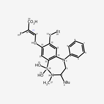 CCCCC1CN(c2ccccc2)c2cc(SCC)c(O/C=C(\F)C(=O)O)cc2S(O)(O)N1C